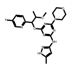 COC(C)C(Oc1nc(Nc2cc(C)[nH]n2)nc(N2CCOCC2)n1)c1ccc(F)cn1